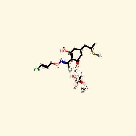 C.CCSC(C)CC1CC(=O)C(/C(CC)=N/OC/C=C/Cl)=C(O)C1.C[As](=O)([O-])O.[Na+]